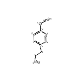 CCCCOc1ccc(CCC(C)(C)C)cc1